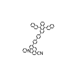 N#Cc1ccc2c3c1ccc1c(-c4ccc(-c5ccc(-c6ccc7c(-c8ccc9ccccc9c8)c8ccccc8c(-c8ccc9ccccc9c8)c7c6)cc5)cc4)ccc(c13)N(c1ccccc1)C2